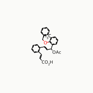 CC(=O)OC(C=Cc1ccccc1C=CC(=O)O)c1cccc(C)c1OCc1ccccc1